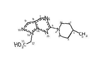 CC1CCN(c2ncc3cnn(CC(=O)O)c3n2)CC1